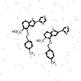 O=C(O)c1ccc2sc(-c3cscn3)cc2c1OCc1ccc(C(F)(F)F)cc1.O=C(O)c1ccc2sc(-c3cscn3)cc2c1OCc1ccc(C(F)(F)F)cc1